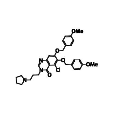 COc1ccc(COc2cc3ncn(CCCN4CCCC4)c(=O)c3c(Cl)c2OCc2ccc(OC)cc2)cc1